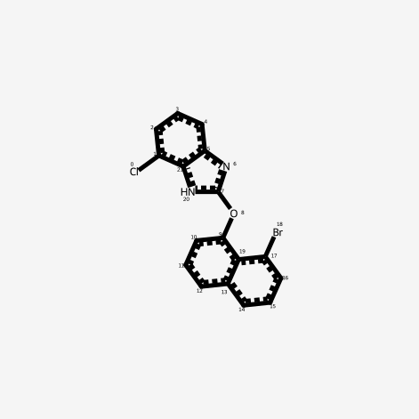 Clc1cccc2nc(Oc3cccc4cccc(Br)c34)[nH]c12